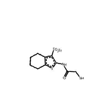 CCOC(=O)c1c(NC(=O)CS)sc2c1CCCC2